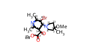 COC1(C)CCN(c2c(Br)c(C)nc(C)c2C(=O)C(=O)OC(C)C)CC1